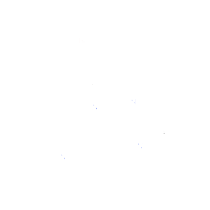 CC(c1nc2c(F)ccc(Br)c2c(=O)n1-c1cccnc1)N(C(=O)O)C(C)(C)C